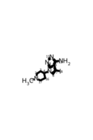 CN1CCC(n2cc(I)c3c(N)ncnc32)CC1